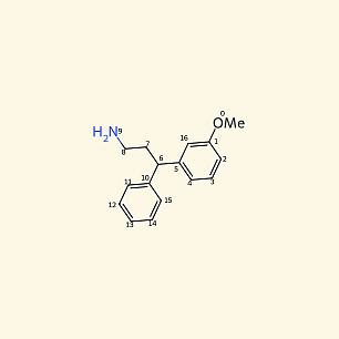 COc1cccc(C(CCN)c2ccccc2)c1